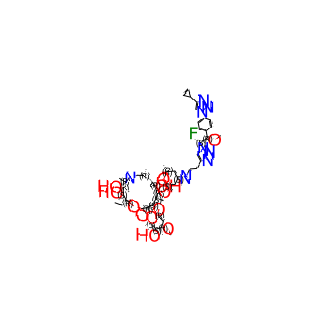 CC[C@H]1OC(=O)[C@H](C)[C@@H](O[C@H]2C[C@@](C)(OC)[C@@H](O)[C@H](C)O2)[C@H](C)[C@@H](O[C@H]2C[C@@H](N(C)CCc3cn([C@H](CF)[C@H](OC)c4ccc(-n5cc(C6CC6)nn5)cc4)nn3)C[C@@H](C)O2)[C@](C)(O)C[C@@H](C)CN(C)[C@H](C)[C@@H](O)[C@]1(C)O